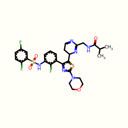 CC(C)C(=O)NCC1=NC(c2sc(N3CCOCC3)nc2-c2cccc(NS(=O)(=O)c3cc(F)ccc3F)c2F)CC=N1